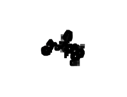 C#Cc1c(F)ccc2cc(O)cc(-c3c(C(C)C)cc4c(N5CC6CCC(C5)N6)nc(OCC5(CN6CC7CC(C6)N7C)CC5)nc4c3F)c12